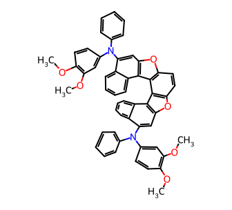 COc1ccc(N(c2ccccc2)c2cc3oc4ccc5oc6cc(N(c7ccccc7)c7ccc(OC)c(OC)c7)c7ccccc7c6c5c4c3c3ccccc23)cc1OC